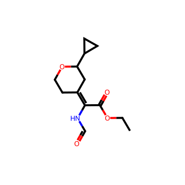 CCOC(=O)/C(NC=O)=C1/CCOC(C2CC2)C1